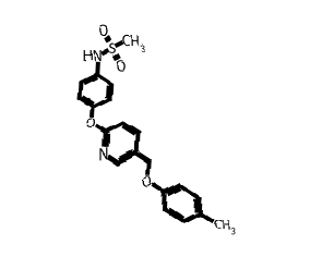 Cc1ccc(OCc2ccc(Oc3ccc(NS(C)(=O)=O)cc3)nc2)cc1